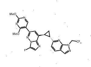 COc1ncc(-c2cc([C@H]3C[C@@H]3c3ccc4cnn(CC(F)(F)F)c4n3)c3ncc(F)n3n2)c(OC)n1